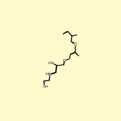 CCC(C)COC(C)CCOCC(O)CNCCO